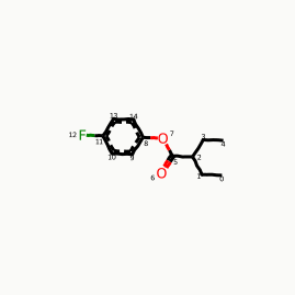 CCC(CC)C(=O)Oc1ccc(F)cc1